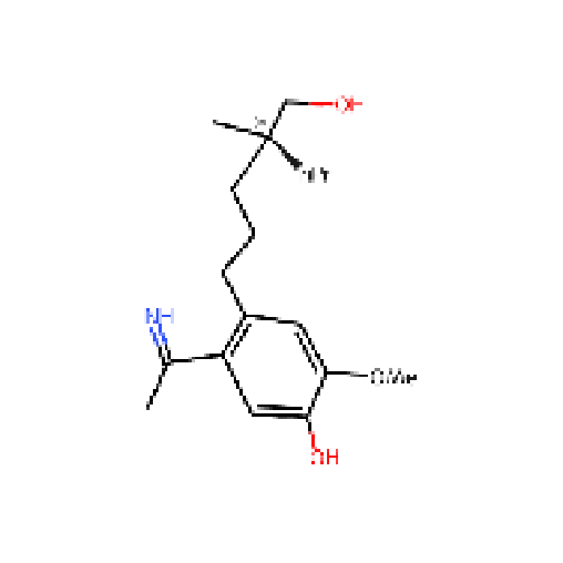 CCC[C@@](C)(CO)CCCc1cc(OC)c(O)cc1C(C)=N